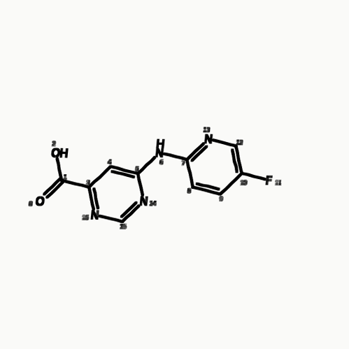 O=C(O)c1cc(Nc2ccc(F)cn2)ncn1